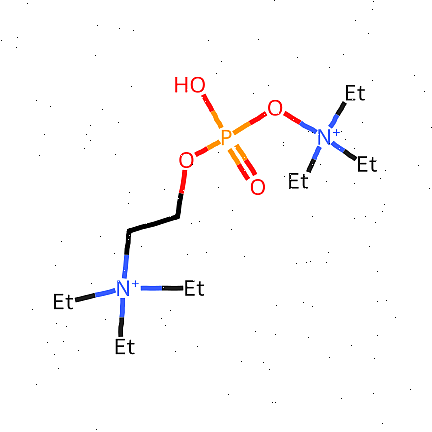 CC[N+](CC)(CC)CCOP(=O)(O)O[N+](CC)(CC)CC